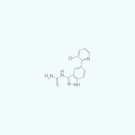 NC(=S)Nc1n[nH]c2ccc(-c3ncccc3Cl)cc12